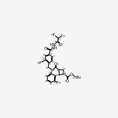 CC(C)(C)OC(=O)N1CC(C(=O)N(Cc2ccc(C(=O)NNC(=O)C(F)F)cc2F)c2cccc(F)c2)C1